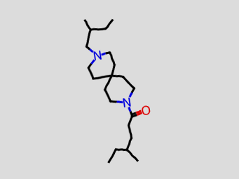 CCC(C)CCC(=O)N1CCC2(CCN(CC(C)CC)CC2)CC1